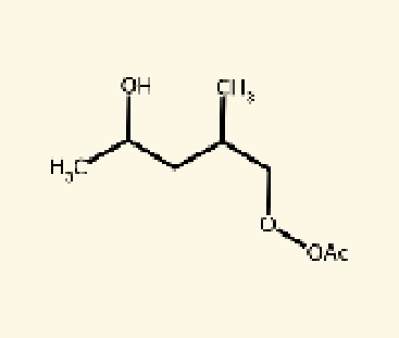 CC(=O)OOCC(C)CC(C)O